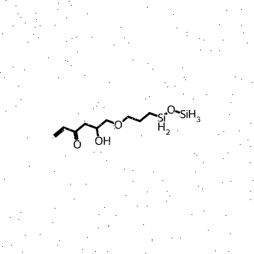 C=CC(=O)CC(O)COCCC[SiH2]O[SiH3]